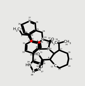 CCCCc1cn(C2C(C(=O)O)CCCCCC2C(C)C)c(=O)n1Cc1cnccc1-c1ccc(-c2nnn[nH]2)cc1